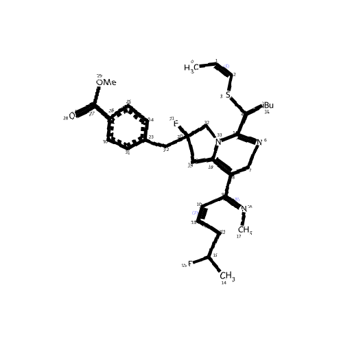 C/C=C\SC(C1=NCC(C(/C=C\CC(C)F)=N/C)=C2CC(F)(Cc3ccc(C(=O)OC)cc3)CN12)C(C)CC